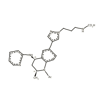 CC(=O)N1c2ccc(-c3cnn(CCCNC(=O)O)c3)cc2[C@H](Nc2ccccn2)C[C@@H]1C